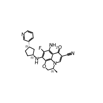 C[C@H]1COc2c(N[C@H]3CC[C@H](c4cccnc4)C3)c(F)c(N)c3c(=O)c(C#N)cn1c23